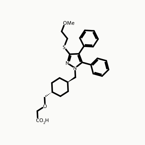 COCCSc1nn(C[C@H]2CC[C@H](COCC(=O)O)CC2)c(-c2ccccc2)c1-c1ccccc1